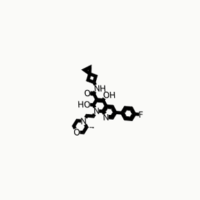 C[C@@H]1COCCN1CCN1c2ncc(-c3ccc(F)cc3)cc2C(O)=C(C(=O)NC2CC3(CC3)C2)C1O